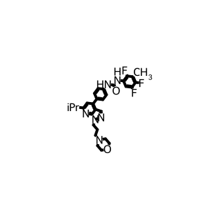 Cc1c(F)c(F)cc(NC(=O)Nc2ccc(-c3cc(C(C)C)nc4c3cnn4CCCN3CCOCC3)cc2)c1F